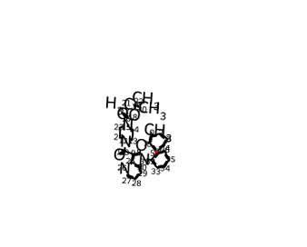 Cc1ccccc1Oc1c(C(=O)N2CCN(C(=O)OC(C)(C)C)CC2)c2ncccc2n1-c1ccccc1